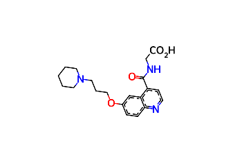 O=C(O)CNC(=O)c1ccnc2ccc(OCCCN3CCCCC3)cc12